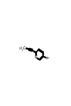 CC#Cc1ccc(Br)cn1